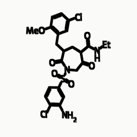 CCNC(=O)C1CC(Cc2cc(Cl)ccc2OC)C(=O)N(S(=O)(=O)c2ccc(Cl)c(N)c2)CC1=O